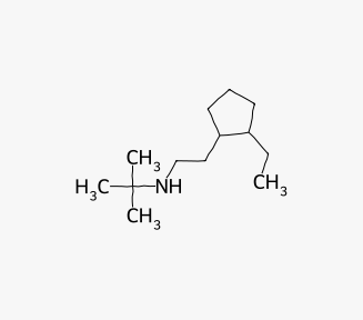 CCC1CCCC1CCNC(C)(C)C